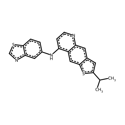 CC(C)c1cc2cc3nccc(Nc4ccc5scnc5c4)c3cc2s1